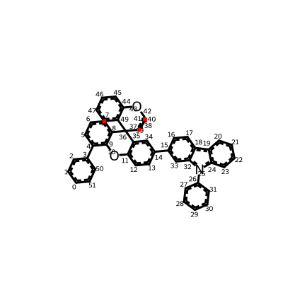 c1ccc(-c2cccc3c2Oc2ccc(-c4ccc5c6ccccc6n(-c6ccccc6)c5c4)cc2C32c3ccccc3Oc3ccccc32)cc1